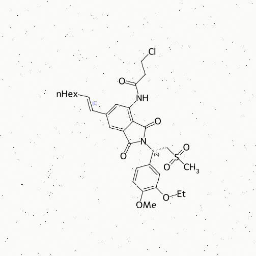 CCCCCC/C=C/c1cc(NC(=O)CCCl)c2c(c1)C(=O)N([C@H](CS(C)(=O)=O)c1ccc(OC)c(OCC)c1)C2=O